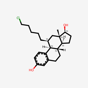 C[C@]12C[C@H](CCCCCCl)[C@@H]3c4ccc(O)cc4CC[C@H]3[C@@H]1CC[C@@H]2O